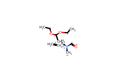 C=C.CCOC(C)OCC.CN(C)C=O